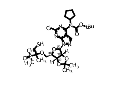 CC(C)(C)OC(=O)N(c1nc(Cl)nc2c1cnn2[C@@H]1O[C@H](COC(C)(CS)P(C)(C)=O)[C@H]2OC(C)(C)O[C@H]21)C1CCCC1